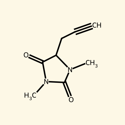 C#CCC1C(=O)N(C)C(=O)N1C